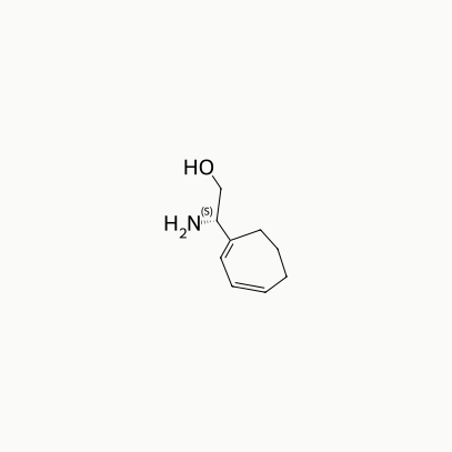 N[C@H](CO)C1=CC=CCCC1